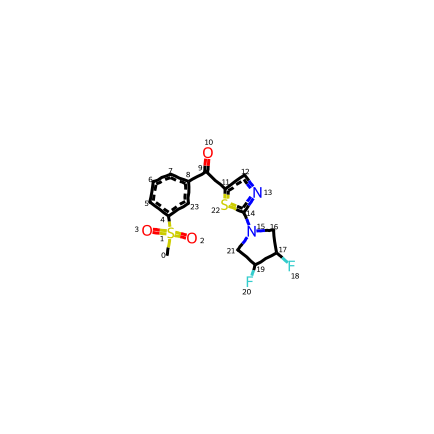 CS(=O)(=O)c1cccc(C(=O)c2cnc(N3CC(F)C(F)C3)s2)c1